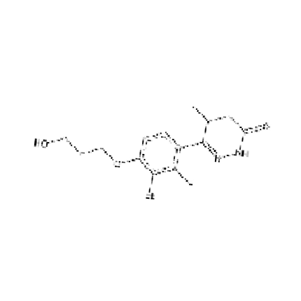 CCc1c(OCCCO)ccc(C2=NNC(=O)CC2C)c1F